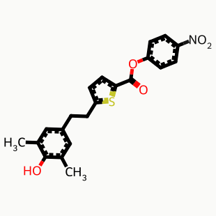 Cc1cc(CCc2ccc(C(=O)Oc3ccc([N+](=O)[O-])cc3)s2)cc(C)c1O